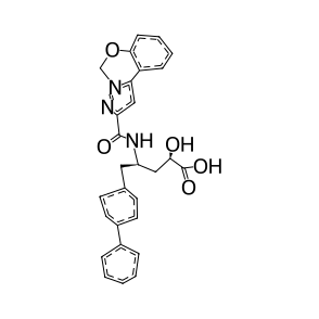 O=C(N[C@H](Cc1ccc(-c2ccccc2)cc1)C[C@@H](O)C(=O)O)c1cc2n(n1)COc1ccccc1-2